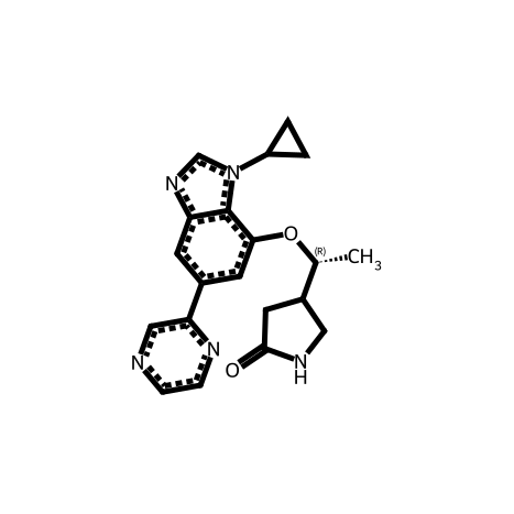 C[C@@H](Oc1cc(-c2cnccn2)cc2ncn(C3CC3)c12)C1CNC(=O)C1